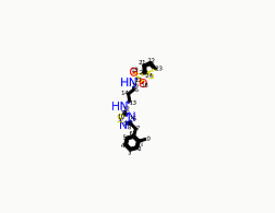 Cc1ccccc1Cc1nsc(NCCCNS(=O)(=O)c2cccs2)n1